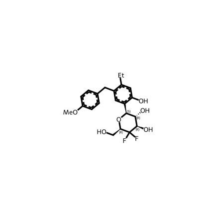 CCc1cc(O)c([C@@H]2O[C@H](CO)C(F)(F)[C@H](O)[C@H]2O)cc1Cc1ccc(OC)cc1